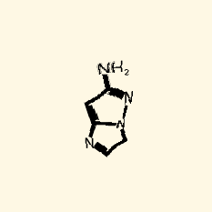 Nc1cc2n(n1)CC=N2